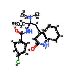 CCOC(=O)C(Cc1cc(=O)[nH]c2ccccc12)(NC(=O)c1ccc(Cl)cc1)N(CC)CC